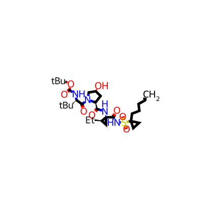 C=CCCCC1(S(=O)(=O)NC(=O)[C@@]2(NC(=O)[C@@H]3C[C@@H](O)CN3C(=O)[C@@H](NC(=O)OC(C)(C)C)C(C)(C)C)C[C@H]2CC)CC1